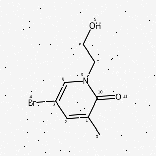 Cc1cc(Br)cn(CCO)c1=O